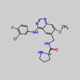 COc1cc2ncnc(Nc3ccc(F)c(Cl)c3)c2cc1CNC(=O)[C@H]1CCCN1